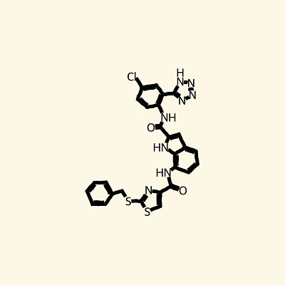 O=C(Nc1cccc2cc(C(=O)Nc3ccc(Cl)cc3-c3nnn[nH]3)[nH]c12)c1csc(SCc2ccccc2)n1